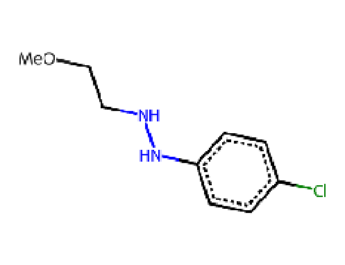 COCCNNc1ccc(Cl)cc1